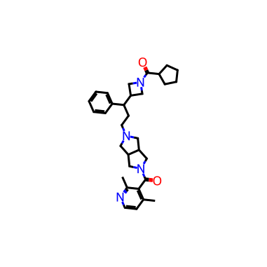 Cc1ccnc(C)c1C(=O)N1CC2CN(CCC(c3ccccc3)C3CN(C(=O)C4CCCC4)C3)CC2C1